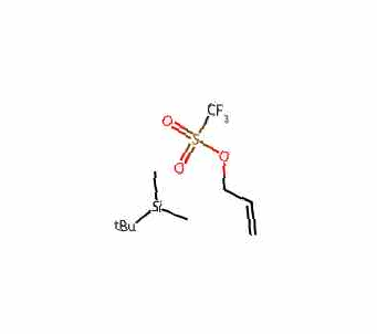 C=CCOS(=O)(=O)C(F)(F)F.C[Si](C)C(C)(C)C